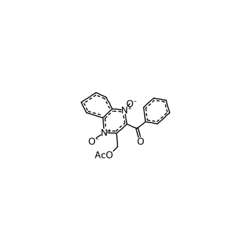 CC(=O)OCc1c(C(=O)c2ccccc2)[n+]([O-])c2ccccc2[n+]1[O-]